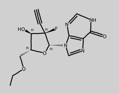 C#C[C@@]1(F)[C@H](O)[C@@H](COCC)O[C@H]1n1cnc2c(=O)[nH]cnc21